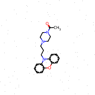 CC(=O)N1CCN(CCCN2c3ccccc3Oc3ccccc32)CC1